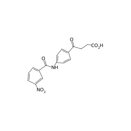 O=C(O)CCC(=O)c1ccc(NC(=O)c2cccc([N+](=O)[O-])c2)cc1